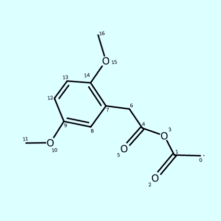 [CH2]C(=O)OC(=O)Cc1cc(OC)ccc1OC